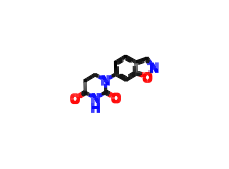 O=C1CCN(c2ccc3cnoc3c2)C(=O)N1